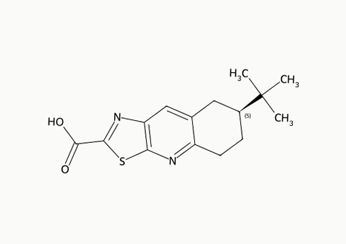 CC(C)(C)[C@H]1CCc2nc3sc(C(=O)O)nc3cc2C1